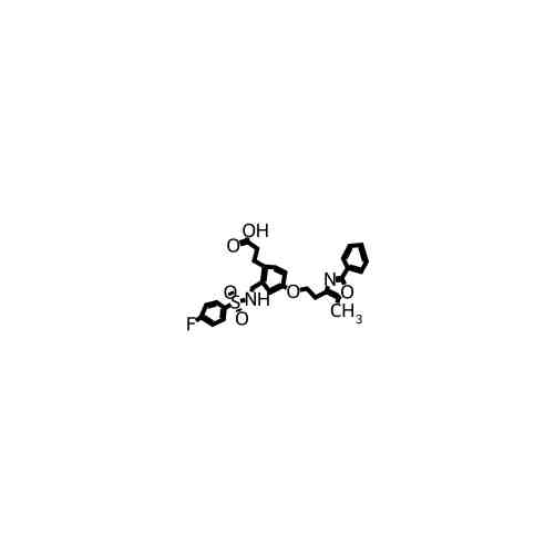 Cc1oc(-c2ccccc2)nc1CCOc1ccc(CCC(=O)O)c(CNS(=O)(=O)c2ccc(F)cc2)c1